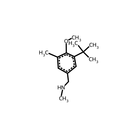 CNCc1cc(C)c(OC)c(C(C)(C)C)c1